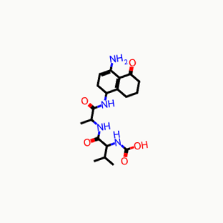 CC(NC(=O)C(NC(=O)O)C(C)C)C(=O)NC1CC=C(N)C2=C1CCCC2=O